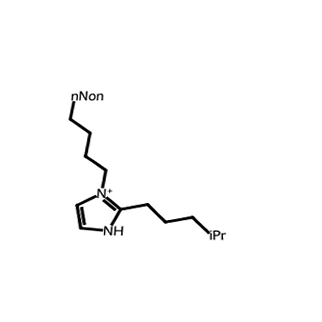 CCCCCCCCCCCCC[n+]1cc[nH]c1CCCC(C)C